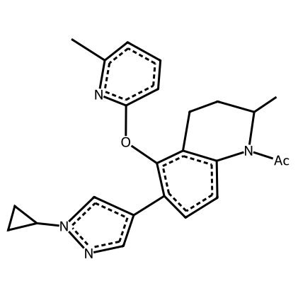 CC(=O)N1c2ccc(-c3cnn(C4CC4)c3)c(Oc3cccc(C)n3)c2CCC1C